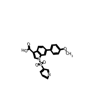 COc1ccc(-c2ccc3c(C(=O)O)cn(S(=O)(=O)c4cccnc4)c3c2)cc1